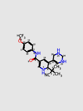 CC(C)(C#N)C1NC=C(C(=O)Nc2ccc(OC(F)(F)F)cc2)C=C1C1=CNCNC1